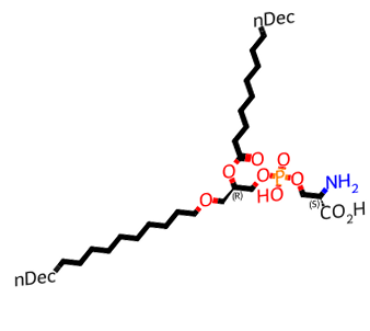 CCCCCCCCCCCCCCCCCCCCOC[C@H](COP(=O)(O)OC[C@H](N)C(=O)O)OC(=O)CCCCCCCCCCCCCCCCCC